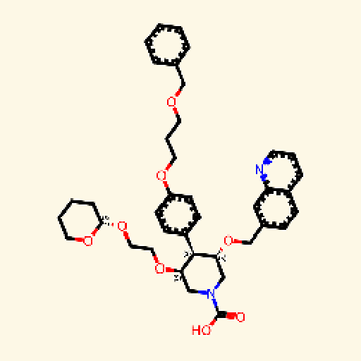 O=C(O)N1C[C@@H](OCCO[C@H]2CCCCO2)[C@@H](c2ccc(OCCCOCc3ccccc3)cc2)[C@H](OCc2ccc3cccnc3c2)C1